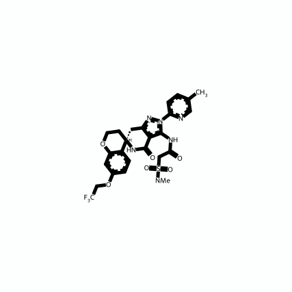 CNS(=O)(=O)CC(=O)Nc1c2c(nn1-c1ccc(C)cn1)C[C@]1(CCOc3cc(OCC(F)(F)F)ccc31)NC2=O